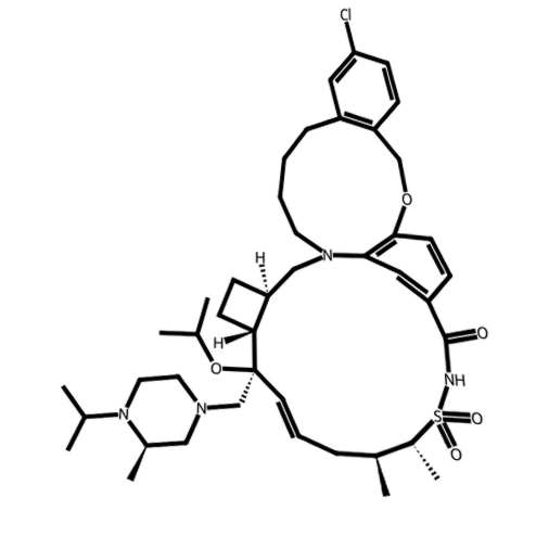 CC(C)O[C@]1(CN2CCN(C(C)C)[C@H](C)C2)/C=C/C[C@H](C)[C@@H](C)S(=O)(=O)NC(=O)c2ccc3c(c2)N(CCCCc2cc(Cl)ccc2CO3)C[C@@H]2CC[C@H]21